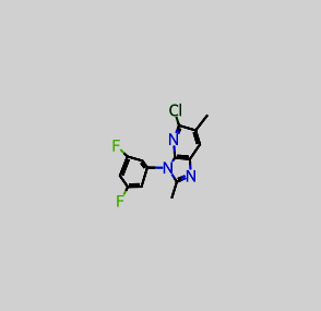 Cc1cc2nc(C)n(-c3cc(F)cc(F)c3)c2nc1Cl